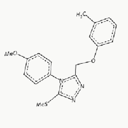 COc1ccc(-n2c(COc3cccc(C)c3)nnc2SC)cc1